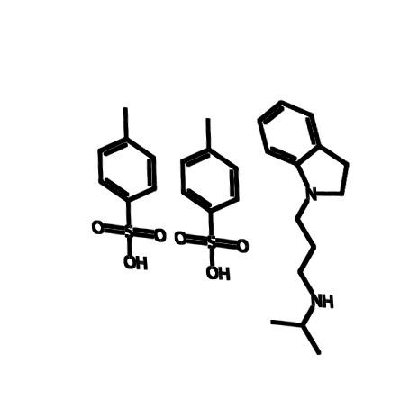 CC(C)NCCCN1CCc2ccccc21.Cc1ccc(S(=O)(=O)O)cc1.Cc1ccc(S(=O)(=O)O)cc1